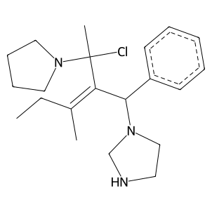 CC/C(C)=C(/C(c1ccccc1)N1CCNC1)C(C)(Cl)N1CCCC1